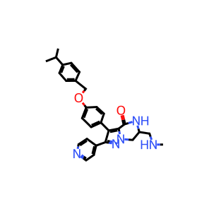 CNCC1Cn2nc(-c3ccncc3)c(-c3ccc(OCc4ccc(C(C)C)cc4)cc3)c2C(=O)N1